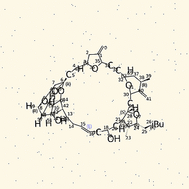 C=C1C[C@@H]2CC[C@@]34C[C@H]5O[C@@H]6[C@@H](O[C@@H](C/C=C/CC(O)C[C@@H]7[C@@H](C)[C@@H](C[C@H](C)CC)O[C@H]7CC7O[C@@H](CCC1O2)C[C@@H](C)C7=C)C(C)[C@@H]6O3)[C@H]5O4